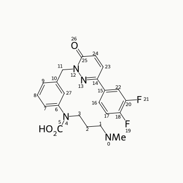 CNCCCN(C(=O)O)c1cccc(Cn2nc(-c3ccc(F)c(F)c3)ccc2=O)c1